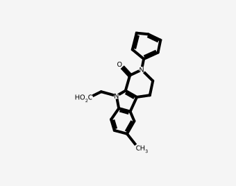 Cc1ccc2c(c1)c1c(n2CC(=O)O)C(=O)N(c2ccccc2)CC1